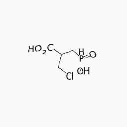 O=C(O)C(CCl)C[PH](=O)O